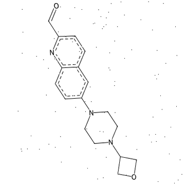 O=Cc1ccc2cc(N3CCN(C4COC4)CC3)ccc2n1